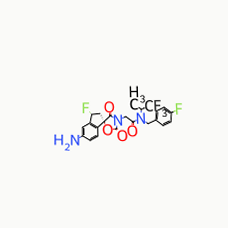 C[C@H](N(Cc1ccc(F)cc1)C(=O)CN1C(=O)O[C@]2(C[C@@H](F)c3cc(N)ccc32)C1=O)C(F)(F)F